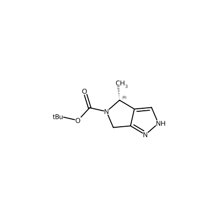 C[C@@H]1c2c[nH]nc2CN1C(=O)OC(C)(C)C